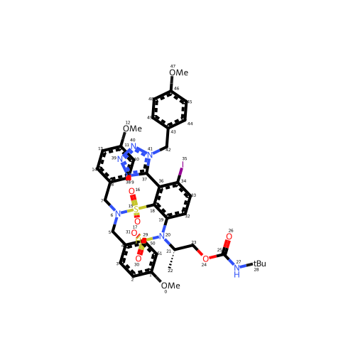 COc1ccc(CN(Cc2ccc(OC)cc2)S(=O)(=O)c2c(N([C@@H](C)COC(=O)NC(C)(C)C)[SH](=O)=O)ccc(I)c2-c2nnnn2Cc2ccc(OC)cc2)cc1